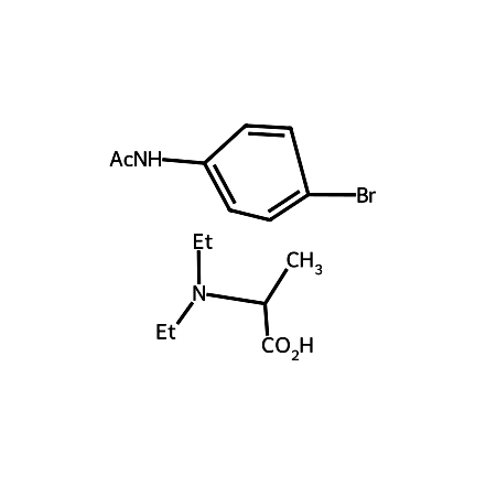 CC(=O)Nc1ccc(Br)cc1.CCN(CC)C(C)C(=O)O